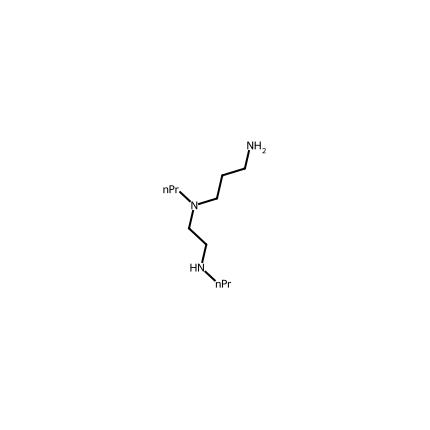 CCCNCCN(CCC)CCCN